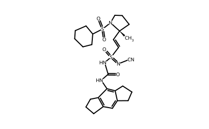 C[C@]1(/C=C/S(=O)(=NC#N)NC(=O)Nc2c3c(cc4c2CCC4)CCC3)CCCN1S(=O)(=O)C1CCCCC1